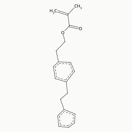 C=C(C)C(=O)OCCc1ccc(CCc2ccccc2)cc1